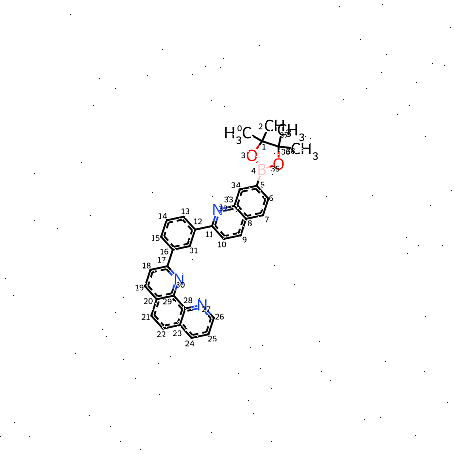 CC1(C)OB(c2ccc3ccc(-c4cccc(-c5ccc6ccc7cccnc7c6n5)c4)nc3c2)OC1(C)C